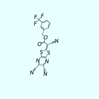 N#CC(C(=O)OCc1cccc(C(F)(F)F)c1)=C1Sc2nc(C#N)c(C#N)nc2S1